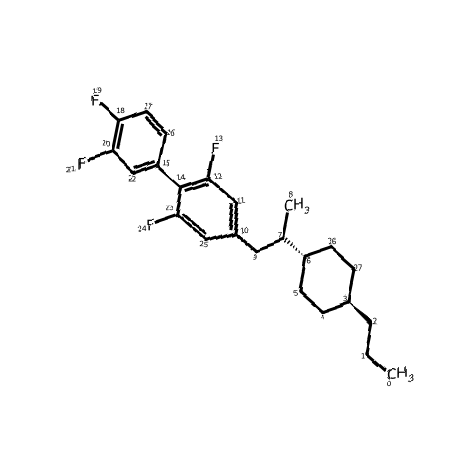 CCC[C@H]1CC[C@H](C(C)Cc2cc(F)c(-c3ccc(F)c(F)c3)c(F)c2)CC1